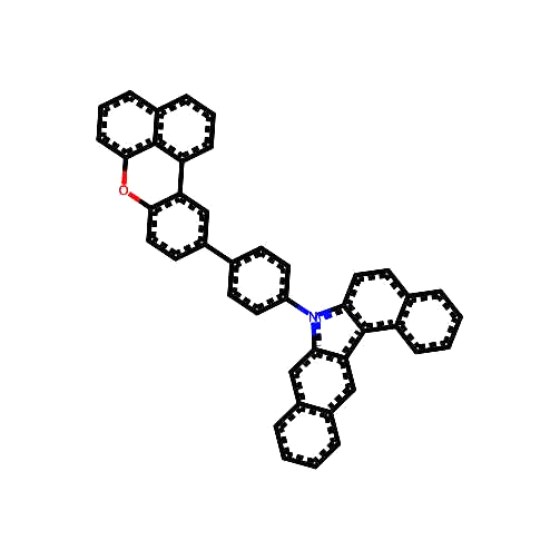 c1ccc2cc3c(cc2c1)c1c2ccccc2ccc1n3-c1ccc(-c2ccc3c(c2)-c2cccc4cccc(c24)O3)cc1